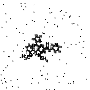 COc1ccccc1-c1cn(C)c2nc(NCc3cccnc3)nc(C(=O)c3cccs3)c12